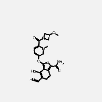 COC1CN(C(=O)C2=CC=C(Oc3sc(C(N)=O)c4c3C(S)=C(C=N)CC4)CN2C)C1